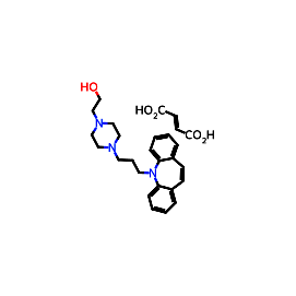 O=C(O)C=CC(=O)O.OCCN1CCN(CCCN2c3ccccc3C=Cc3ccccc32)CC1